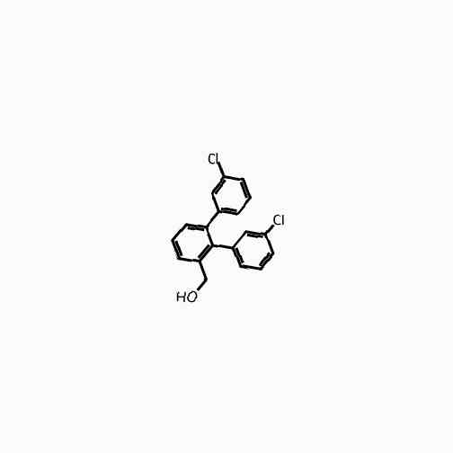 OCc1cccc(-c2cccc(Cl)c2)c1-c1cccc(Cl)c1